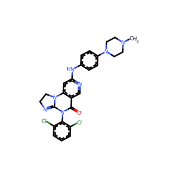 CN1CCN(c2ccc(Nc3cc4c(cn3)C(=O)N(c3c(Cl)cccc3Cl)C3=NCCN34)cc2)CC1